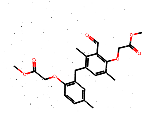 COC(=O)COc1ccc(C)cc1Cc1cc(C)c(OCC(=O)OC)c(C=O)c1C